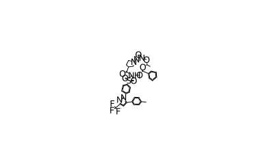 Cc1ccc(-c2cc(C(F)(F)F)nn2-c2ccc(S(=O)(=O)NC(=O)C3CCN(n4on4OC(C)OC(=O)c4ccccc4)C3)cc2)cc1